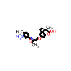 Cc1ccc(-c2nc(CCOc3ccc4c(c3)CC[C@H]4[C@H](C)C(=O)O)c(C)o2)cc1N